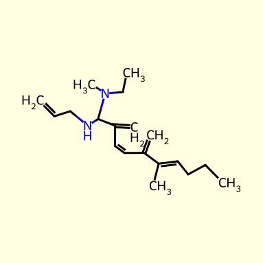 C=CCNC(C(=C)/C=C\C(=C)/C(C)=C/CCC)N(C)CC